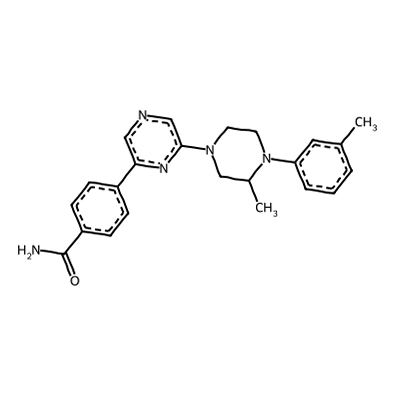 Cc1cccc(N2CCN(c3cncc(-c4ccc(C(N)=O)cc4)n3)CC2C)c1